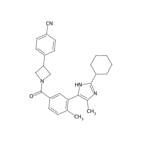 Cc1ccc(C(=O)N2CC(c3ccc(C#N)cc3)C2)cc1-c1[nH]c(C2CCCCC2)nc1C